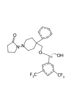 O=C1CCCN1N1CCC(CO[C@H](CO)c2cc(C(F)(F)F)cc(C(F)(F)F)c2)(c2ccccc2)CC1